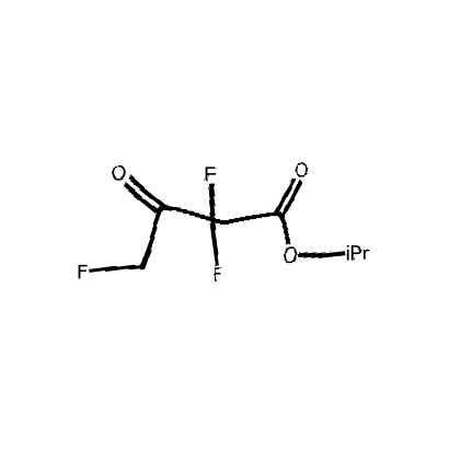 CC(C)OC(=O)C(F)(F)C(=O)CF